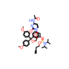 C#CCCOP(OC1CC(n2ccc(NC(C)=O)nc2=O)OC1COC(c1ccccc1)(c1ccc(OC)cc1)c1ccc(OC)cc1)N(C(C)C)C(C)C